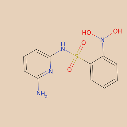 Nc1cccc(NS(=O)(=O)c2ccccc2N(O)O)n1